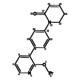 CC(C)Oc1ncccc1-c1ccc(N2CCC=CC2=O)cc1